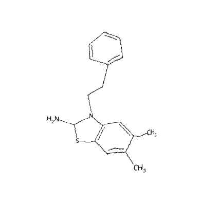 Cc1cc2c(cc1C)N(CCc1ccccc1)C(N)S2